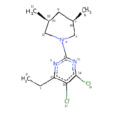 CCc1nc(N2C[C@H](C)C[C@H](C)C2)nc(Cl)c1Cl